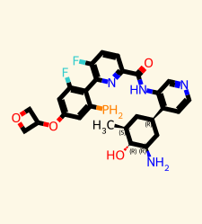 C[C@H]1C[C@@H](c2ccncc2NC(=O)c2ccc(F)c(-c3c(F)cc(OC4COC4)cc3P)n2)C[C@@H](N)[C@@H]1O